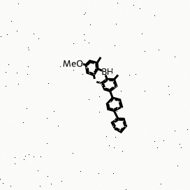 COc1cc(C)c(Bc2c(C)cc(-c3ccc(-c4ccccc4)cc3)cc2C)c(C)c1